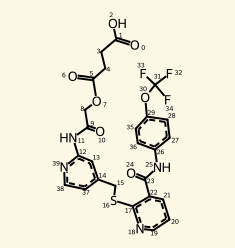 O=C(O)CCC(=O)OCC(=O)Nc1cc(CSc2ncccc2C(=O)Nc2ccc(OC(F)(F)F)cc2)ccn1